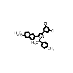 COc1ccc2cc(-c3cc(-c4cc(Cl)cc(Cl)c4)nn3[C@@H](C)c3ccc(C)cc3)ccc2c1